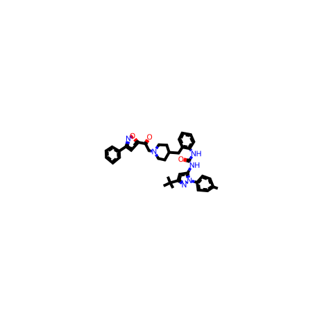 Cc1ccc(-n2nc(C(C)(C)C)cc2NC(=O)Nc2ccccc2CC2CCN(CC(=O)c3cc(-c4ccccc4)no3)CC2)cc1